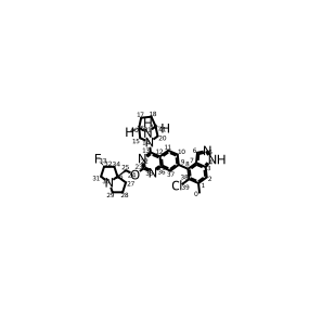 Cc1cc2[nH]ncc2c(-c2ccc3c(N4C[C@H]5CC[C@@H](C4)N5)nc(OC[C@@]45CCCN4C[C@H](F)C5)nc3c2)c1Cl